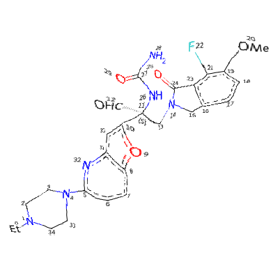 CCN1CCN(c2ccc3oc([C@](C=O)(CN4Cc5ccc(OC)c(F)c5C4=O)NC(N)=O)cc3n2)CC1